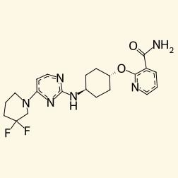 NC(=O)c1cccnc1O[C@H]1CC[C@H](Nc2nccc(N3CCCC(F)(F)C3)n2)CC1